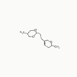 CC1COC(CCC2=CCC(C)OC2)OC1